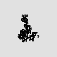 Cc1cc(-c2cccc(C(F)(F)F)c2)nc2c1N1CC[C@@H](C1)N2C(=O)Nc1ccnc(OCC2COC(C)(C)O2)c1